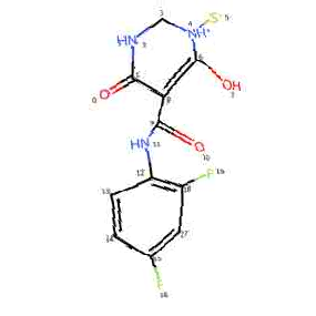 O=C1NC[NH+]([S-])C(O)=C1C(=O)Nc1ccc(F)cc1F